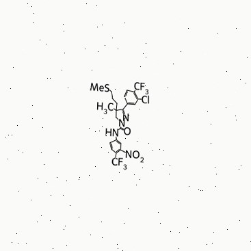 CSCCCC1(C)CN(C(=O)Nc2ccc(C(F)(F)F)c([N+](=O)[O-])c2)N=C1c1ccc(C(F)(F)F)c(Cl)c1